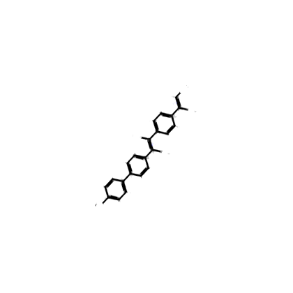 CCCc1ccc(-c2ccc(/C(F)=C(\F)c3ccc(/C(F)=C/C(F)(F)F)cc3)cc2)cc1